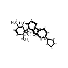 CC1=CC(C)(c2c(C)ccc3c2oc2nc(C4CCCC4)ccc23)N(C)C=C1